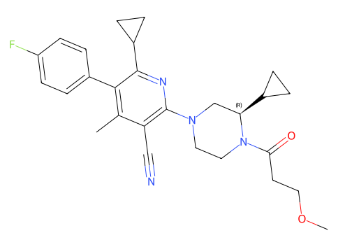 COCCC(=O)N1CCN(c2nc(C3CC3)c(-c3ccc(F)cc3)c(C)c2C#N)C[C@H]1C1CC1